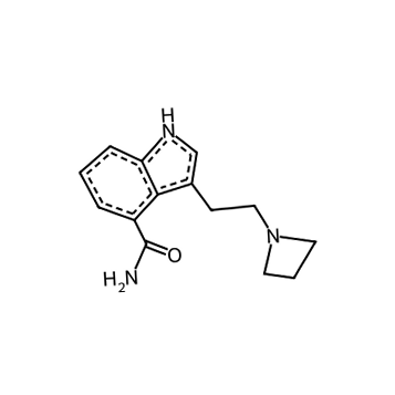 NC(=O)c1cccc2[nH]cc(CCN3CCC3)c12